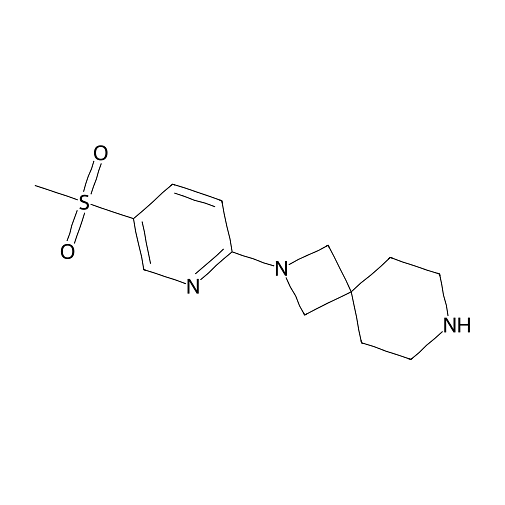 CS(=O)(=O)c1ccc(N2CC3(CCNCC3)C2)nc1